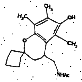 CC(=O)NCC1CC2(CCC2)Oc2c(C)c(C)c(O)c(C)c21